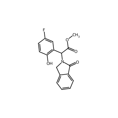 COC(=O)C(c1cc(F)ccc1O)N1Cc2ccccc2C1=O